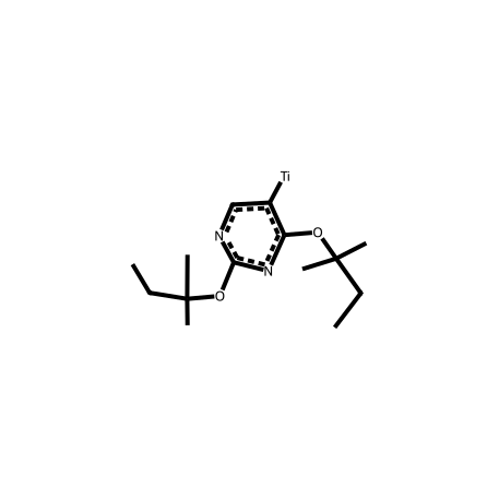 CCC(C)(C)Oc1nc[c]([Ti])c(OC(C)(C)CC)n1